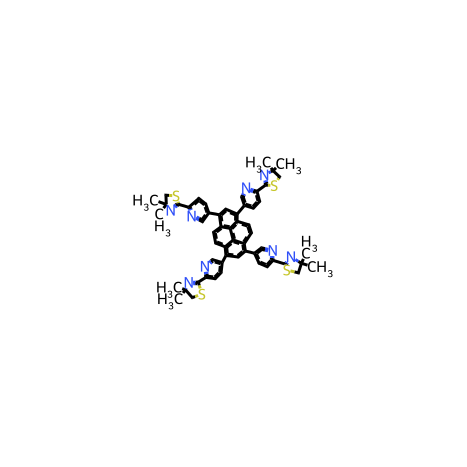 CC1(C)CSC(c2ccc(-c3cc(-c4ccc(C5=NC(C)(C)CS5)nc4)c4ccc5c(-c6ccc(C7=NC(C)(C)CS7)nc6)cc(-c6ccc(C7=NC(C)(C)CS7)nc6)c6ccc3c4c65)cn2)=N1